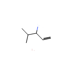 Br.C=CC(N)C(C)C